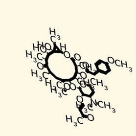 COc1ccc(CC(=O)O[C@H]2[C@H](C)[C@@H](O[C@@H]3O[C@H](C)C[C@H](N(C)C)[C@H]3O/C=C/C(C)=O)[C@@](C)(OC)C[C@@H](C)C(=O)[C@H](C)[C@@H](O)[C@@]3(O)C(C)[C@H]3OC(=O)[C@@H]2C)cc1